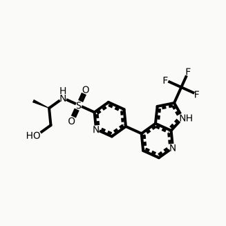 C[C@H](CO)NS(=O)(=O)c1ccc(-c2ccnc3[nH]c(C(F)(F)F)cc23)cn1